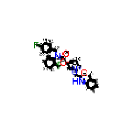 Cc1ccccc1NC(=O)C[N+]12CCC(CC1)C(OC(=O)N(Cc1ccc(F)cc1)c1ccccc1F)C2